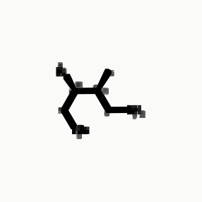 CCCCC[C@@H](CC)[C@@H](C)CN